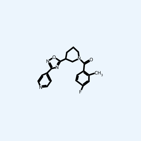 Cc1cc(F)ccc1C(=O)N1CCCC(c2nc(-c3ccncc3)no2)C1